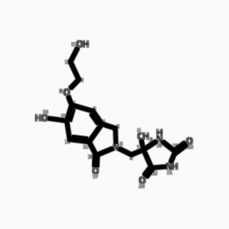 CC1(CN2Cc3cc(OCCO)c(O)cc3C2=O)NC(=O)NC1=O